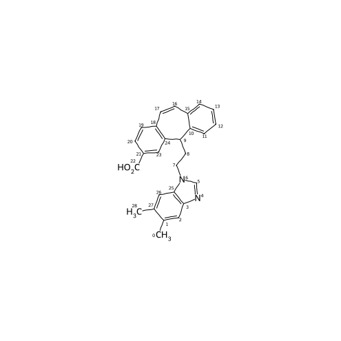 Cc1cc2ncn(CCC3c4ccccc4C=Cc4ccc(C(=O)O)cc43)c2cc1C